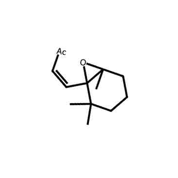 CC(=O)/C=C\C12OC1(C)CCCC2(C)C